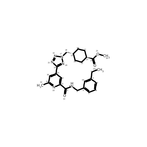 CCc1cccc(CNC(=O)c2cc(-c3nnn(C[C@H]4CC[C@H](C(=O)OC)CC4)n3)cc(C)n2)c1